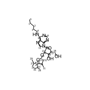 CCCCCNc1ncnc2c1ncn2[C@@H]1O[C@H](CO)[C@@H](O)[C@H]1OCO[Si](C(C)C)(C(C)C)C(C)C